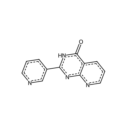 O=c1[nH]c(-c2cccnc2)nc2ncccc12